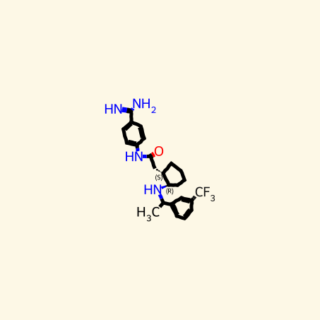 CC(N[C@@H]1CCCC[C@H]1CC(=O)Nc1ccc(C(=N)N)cc1)c1cccc(C(F)(F)F)c1